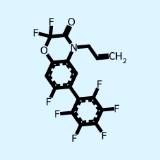 C=CCN1C(=O)C(F)(F)Oc2cc(F)c(-c3c(F)c(F)c(F)c(F)c3F)cc21